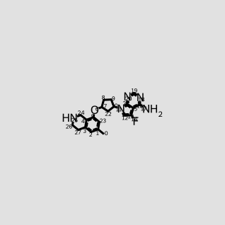 Cc1cc2c(c(OC3CCC(n4cc(F)c5c(N)ncnc54)C3)c1)CNCC2